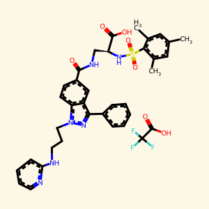 Cc1cc(C)c(S(=O)(=O)N[C@@H](CNC(=O)c2ccc3c(c2)c(-c2ccccc2)nn3CCCNc2ccccn2)C(=O)O)c(C)c1.O=C(O)C(F)(F)F